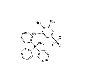 CC(C)(C)c1cc(S(=O)(=O)[O-])cc(C(C)(C)C)c1O.CCCCCCCCC[P+](c1ccccc1)(c1ccccc1)c1ccccc1